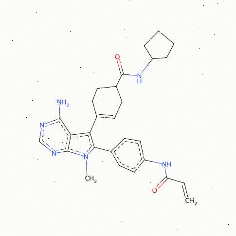 C=CC(=O)Nc1ccc(-c2c(C3=CCC(C(=O)NC4CCCC4)CC3)c3c(N)ncnc3n2C)cc1